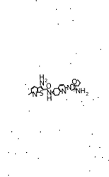 Cc1ccc2c(N)c(C(=O)N[C@H]3CCc4nc(N5C[C@H](N)[C@]6(CCCO6)C5)ccc4C3)sc2n1